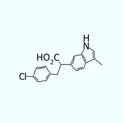 Cc1c[nH]c2cc(C(Cc3ccc(Cl)cc3)C(=O)O)ccc12